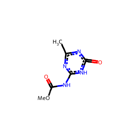 COC(=O)Nc1nc(C)nc(=O)[nH]1